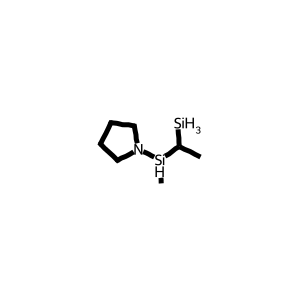 CC([SiH3])[SiH](C)N1CCCC1